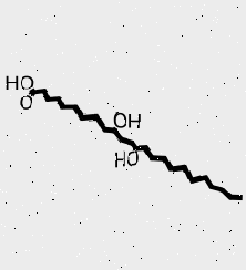 CCCCCCCCCCCC(O)CCC(O)CCCCCCCCC(=O)O